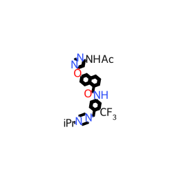 CC(=O)Nc1cc(Oc2ccc3c(C(=O)Nc4ccc(CN5CCN(C(C)C)CC5)c(C(F)(F)F)c4)cccc3c2)ncn1